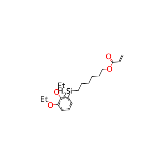 C=CC(=O)OCCCCCC[SiH2]c1cccc(OCC)c1OCC